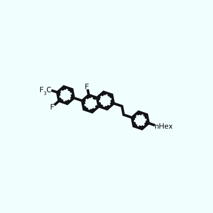 CCCCCCc1ccc(CCc2ccc3c(F)c(-c4ccc(C(F)(F)F)c(F)c4)ccc3c2)cc1